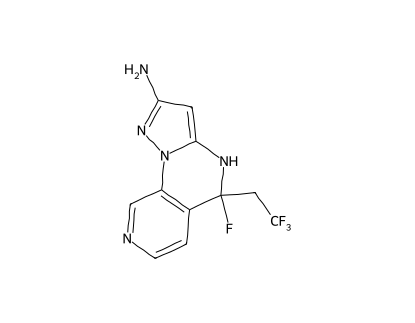 Nc1cc2n(n1)-c1cnccc1C(F)(CC(F)(F)F)N2